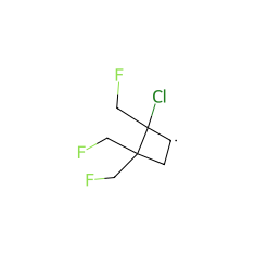 FCC1(Cl)[CH]CC1(CF)CF